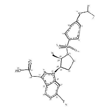 CC(C)Oc1ccc(S(=O)(=O)N2CC[C@@H](n3nc(CC(=O)O)c4ccc(F)cc43)[C@H]2C)cc1